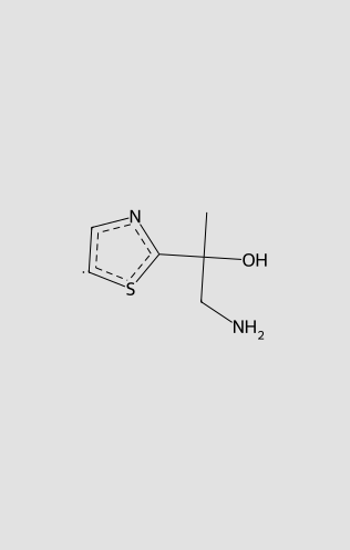 CC(O)(CN)c1nc[c]s1